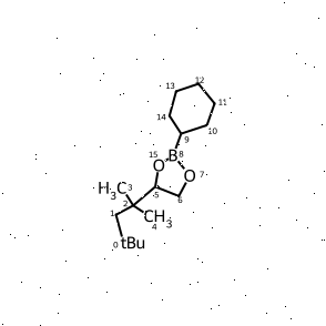 CC(C)(C)CC(C)(C)C1COB(C2CCCCC2)O1